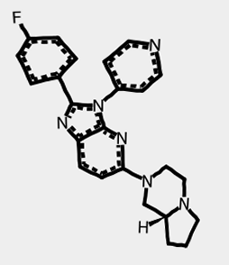 Fc1ccc(-c2nc3ccc(N4CCN5CCC[C@@H]5C4)nc3n2-c2ccncc2)cc1